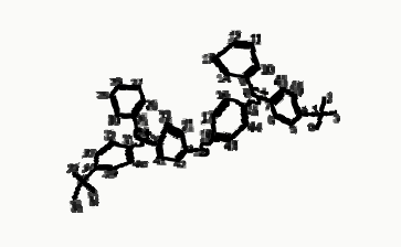 CC(C)(C)c1ccc([S+](c2ccccc2)c2ccc(Sc3ccc([S+](c4ccccc4)c4ccc(C(C)(C)C)cc4)cc3)cc2)cc1